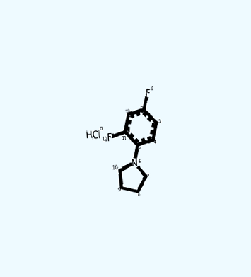 Cl.Fc1ccc(N2CCCC2)c(F)c1